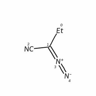 CCC(C#N)=[N+]=[N-]